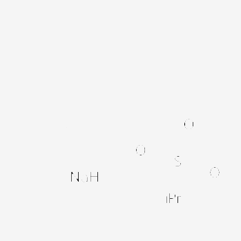 CC(C)S(=O)(=O)Oc1cccc2ccccc12.[NaH]